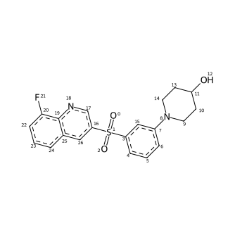 O=S(=O)(c1cccc(N2CCC(O)CC2)c1)c1cnc2c(F)cccc2c1